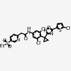 CCS(=O)(=O)c1ccc(CC(=O)Nc2cc(Cl)c(C3(c4noc(-c5ccc(Cl)s5)n4)CC3)c(Cl)c2)nc1